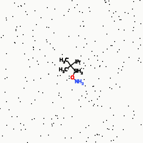 CC(C)C(C)(C)[SiH2]ON